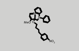 COC1=CC=NCC1(CN(c1ccccc1)c1ccccc1)OCCCCc1ccc([N+](=O)[O-])cc1